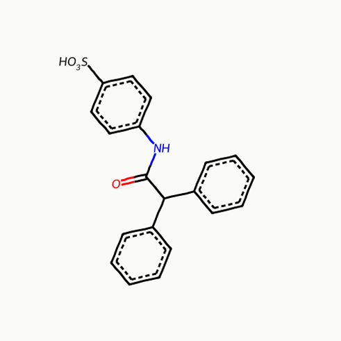 O=C(Nc1ccc(S(=O)(=O)O)cc1)C(c1ccccc1)c1ccccc1